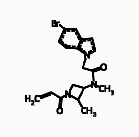 C=CC(=O)N1CC(N(C)C(=O)Cn2ccc3cc(Br)ccc32)C1C